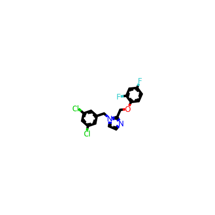 Fc1ccc(OCc2nccn2Cc2cc(Cl)cc(Cl)c2)c(F)c1